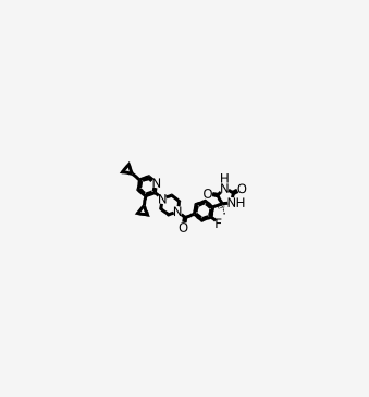 C[C@@]1(c2ccc(C(=O)N3CCN(c4ncc(C5CC5)cc4C4CC4)CC3)cc2F)NC(=O)NC1=O